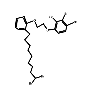 Brc1ccc(OCCOc2ccccc2CCCCCCCCC(Br)Br)c(Br)c1Br